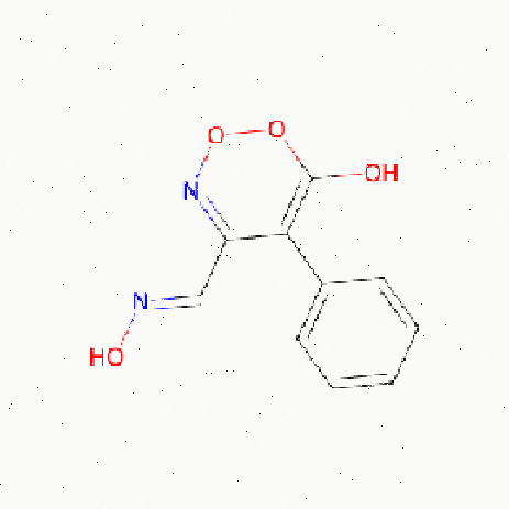 ON=CC1=NOOC(O)=C1c1ccccc1